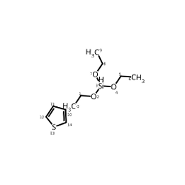 CCO[SiH](OCC)OCC.c1ccsc1